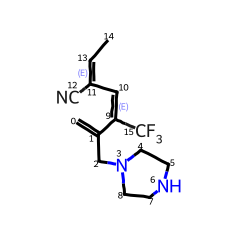 C=C(CN1CCNCC1)/C(=C\C(C#N)=C/C)C(F)(F)F